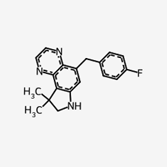 CC1(C)CNc2cc(Cc3ccc(F)cc3)c3nccnc3c21